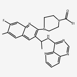 CCC(=O)N1CCN(c2nc3cc(F)c(C)cc3cc2C(C)Nc2ncnc3cccnc23)CC1